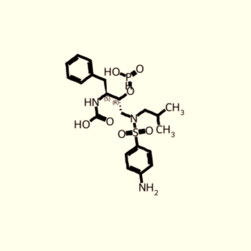 CC(C)CN(C[C@@H](O[PH](=O)O)[C@H](Cc1ccccc1)NC(=O)O)S(=O)(=O)c1ccc(N)cc1